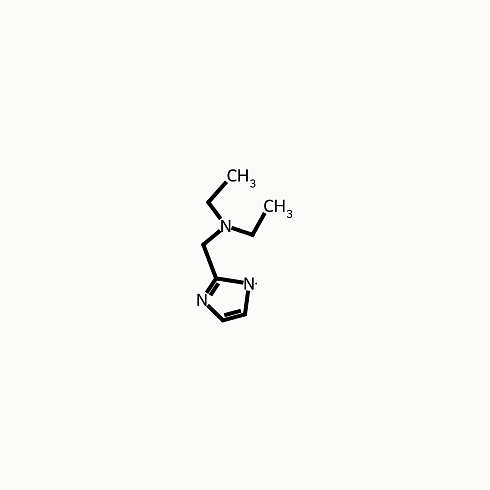 CCN(CC)CC1=NC=C[N]1